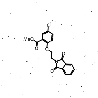 COC(=O)c1cc(Cl)ccc1OCCN1C(=O)c2ccccc2C1=O